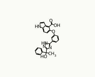 CC(O)(c1ccccc1)c1n[nH]c(-c2cccc(Oc3ccc4[nH]ccc4c3C(=O)O)c2)n1